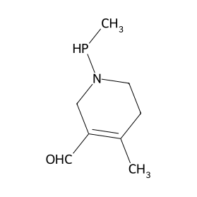 CPN1CCC(C)=C(C=O)C1